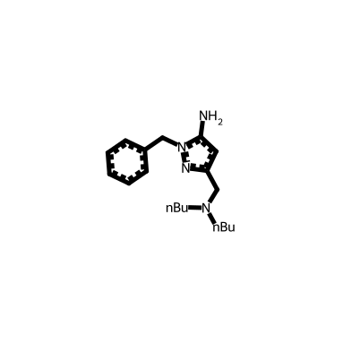 CCCCN(CCCC)Cc1cc(N)n(Cc2ccccc2)n1